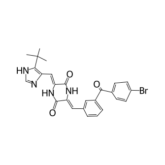 CC(C)(C)c1[nH]cnc1/C=c1\[nH]c(=O)/c(=C/c2cccc(C(=O)c3ccc(Br)cc3)c2)[nH]c1=O